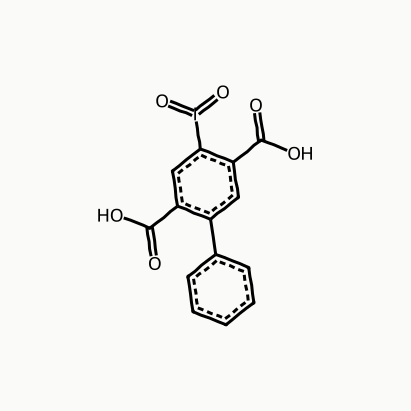 O=C(O)c1cc(I(=O)=O)c(C(=O)O)cc1-c1ccccc1